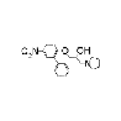 O=[N+]([O-])c1ccc(OCC(O)CN2CCCC2)c(-c2ccccc2)c1